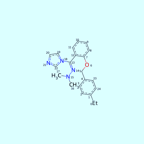 CCc1ccc(COc2ccccc2C(=NN(C)C)n2ccnc2)cc1